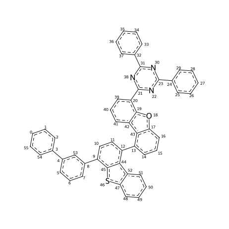 c1ccc(-c2cccc(-c3ccc(-c4cccc5oc6c(-c7nc(-c8ccccc8)nc(-c8ccccc8)n7)cccc6c45)c4c3sc3ccccc34)c2)cc1